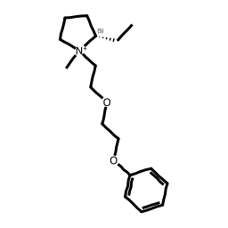 CC[C@H]1CCC[N+]1(C)CCOCCOc1ccccc1